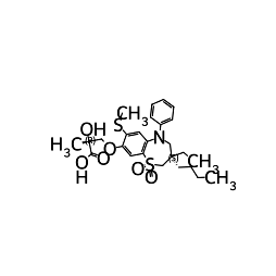 CCCC[C@@]1(CC)CN(c2ccccc2)c2cc(SC)c(OC[C@@](C)(O)C(=O)O)cc2S(=O)(=O)C1